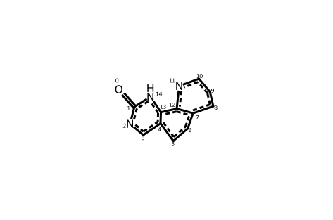 O=c1ncc2ccc3cccnc3c2[nH]1